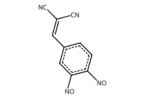 N#CC(C#N)=Cc1ccc(N=O)c(N=O)c1